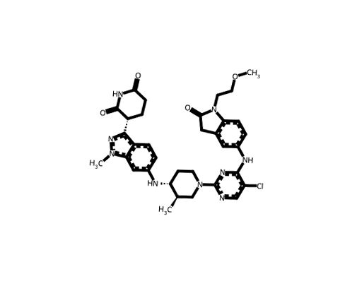 COCCN1C(=O)Cc2cc(Nc3nc(N4CC[C@@H](Nc5ccc6c([C@H]7CCC(=O)NC7=O)nn(C)c6c5)[C@H](C)C4)ncc3Cl)ccc21